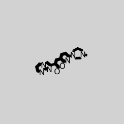 CN1CCCN(c2ccc3cc(-c4cn5cccnc5n4)c(=O)oc3n2)CC1